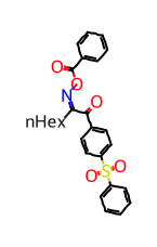 CCCCCCC(=NOC(=O)c1ccccc1)C(=O)c1ccc(S(=O)(=O)c2ccccc2)cc1